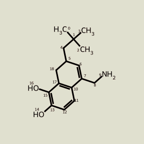 CC(C)(C)CC1C=C(CN)c2ccc(O)c(O)c2C1